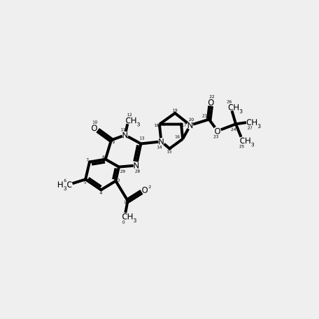 CC(=O)c1cc(C)cc2c(=O)n(C)c(N3CC4CC3CN4C(=O)OC(C)(C)C)nc12